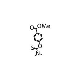 COC(=O)c1ccc(OC(=S)N(C)C)cc1